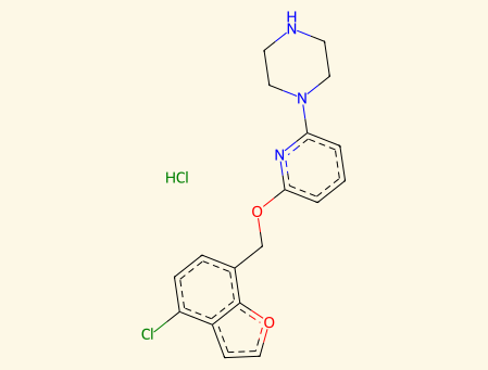 Cl.Clc1ccc(COc2cccc(N3CCNCC3)n2)c2occc12